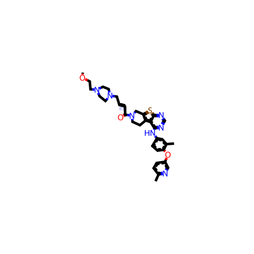 COCCN1CCN(C/C=C/C(=O)N2CCc3c(sc4ncnc(Nc5ccc(Oc6ccc(C)nc6)c(C)c5)c34)C2)CC1